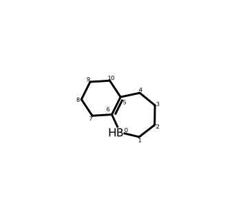 B1CCCCC2=C1CCCC2